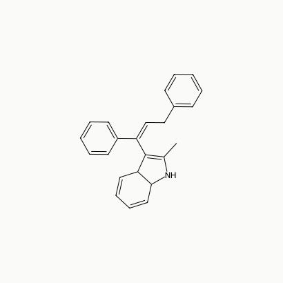 CC1=C(/C(=C\Cc2ccccc2)c2ccccc2)C2C=CC=CC2N1